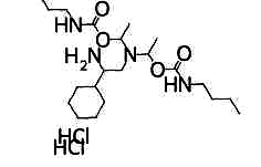 CCCCNC(=O)OC(C)N(CC(N)C1CCCCC1)C(C)OC(=O)NCCCC.Cl.Cl